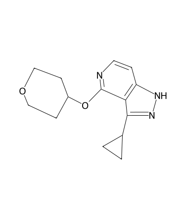 c1cc2[nH]nc(C3CC3)c2c(OC2CCOCC2)n1